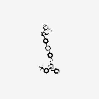 CCC(C)n1ncn(-c2ccc(N3CCN(c4ccc(OC[C@@H]5CO[C@](Cc6ccnnc6)(c6cccc(C(F)(F)F)c6)O5)cc4)CC3)cc2)c1=O